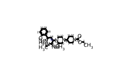 CCOC(=O)N1CCC(N2CCN(/C(=C/C(=N)c3ccccc3O)C(=N)NC)[C@@H](C)C2)CC1